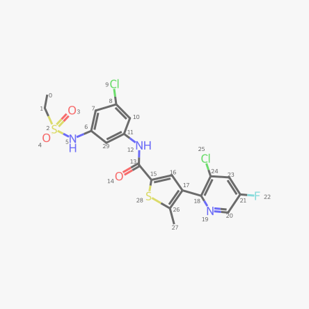 CCS(=O)(=O)Nc1cc(Cl)cc(NC(=O)c2cc(-c3ncc(F)cc3Cl)c(C)s2)c1